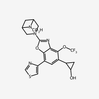 O=C(O)N1C2CC1CN(c1nc3c(OC(F)(F)F)c(C4CC4O)cc(-c4cscn4)c3o1)C2